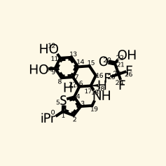 CC(C)c1cc2c(s1)[C@H]1c3cc(O)c(O)cc3CC[C@@H]1NC2.O=C(O)C(F)(F)F